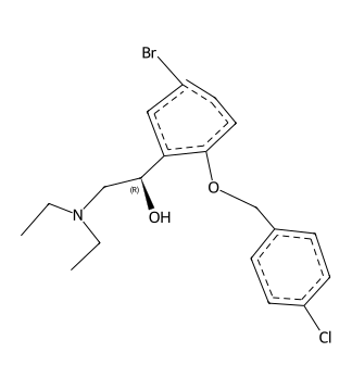 CCN(CC)C[C@H](O)c1cc(Br)ccc1OCc1ccc(Cl)cc1